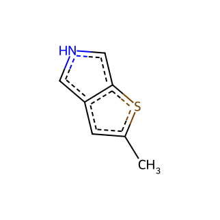 Cc1cc2c[nH]cc2s1